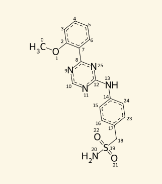 COc1ccccc1-c1ncnc(Nc2ccc(CS(N)(=O)=O)cc2)n1